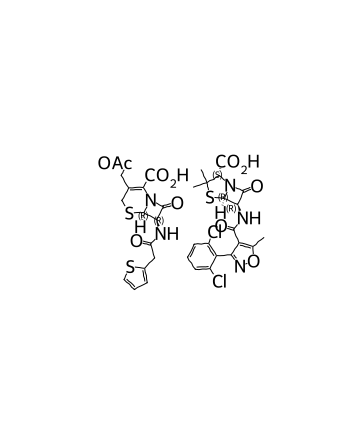 CC(=O)OCC1=C(C(=O)O)N2C(=O)[C@@H](NC(=O)Cc3cccs3)[C@H]2SC1.Cc1onc(-c2c(Cl)cccc2Cl)c1C(=O)N[C@@H]1C(=O)N2[C@@H]1SC(C)(C)[C@@H]2C(=O)O